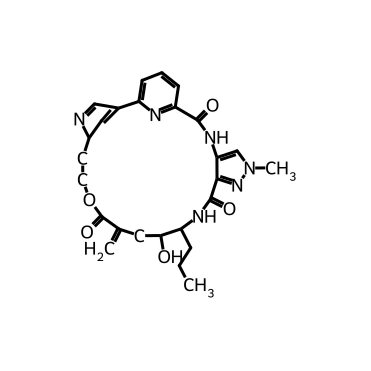 C=C1CC(O)C(CCC)NC(=O)c2nn(C)cc2NC(=O)c2cccc(n2)C2=CC(CCOC1=O)N=C2